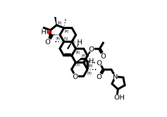 CC(=O)O[C@@H]1C[C@]23COC[C@@](C)([C@@H]2CC[C@H]2C3=CC[C@@]3(C)[C@H](C(=O)O)[C@@](C)([C@H](C)C(C)C)CC[C@]23C)[C@H]1OC(=O)CN1CCC(O)C1